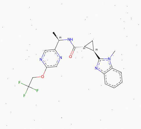 C[C@@H](NC(=O)[C@@H]1C[C@H]1c1nc2ccccc2n1C)c1cnc(OCC(F)(F)F)cn1